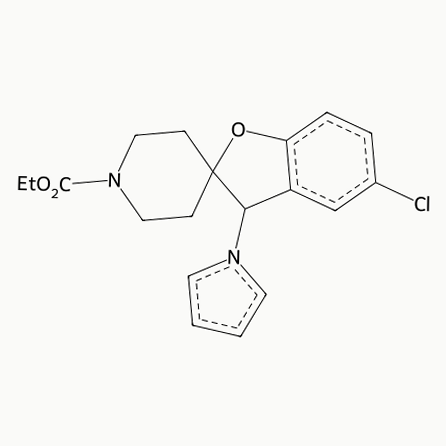 CCOC(=O)N1CCC2(CC1)Oc1ccc(Cl)cc1C2n1cccc1